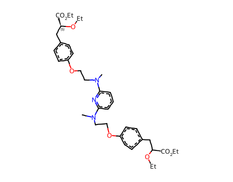 CCOC(=O)C(Cc1ccc(OCCN(C)c2cccc(N(C)CCOc3ccc(C[C@H](OCC)C(=O)OCC)cc3)n2)cc1)OCC